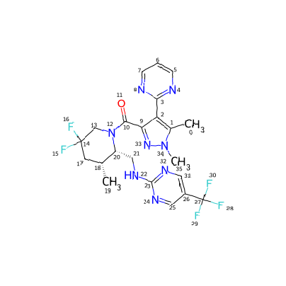 Cc1c(-c2ncccn2)c(C(=O)N2CC(F)(F)C[C@@H](C)[C@H]2CNc2ncc(C(F)(F)F)cn2)nn1C